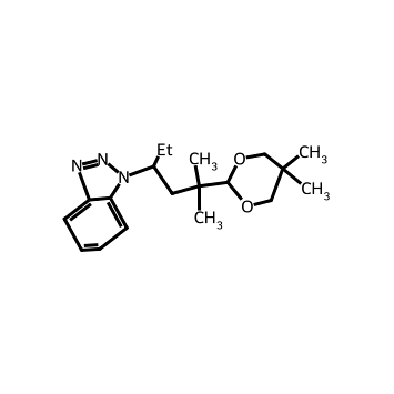 CCC(CC(C)(C)C1OCC(C)(C)CO1)n1nnc2ccccc21